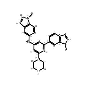 Cn1ncc2ccc(-c3cc(Nc4ccc5c(c4)nnn5C)nc(N4CCOCC4)n3)cc21